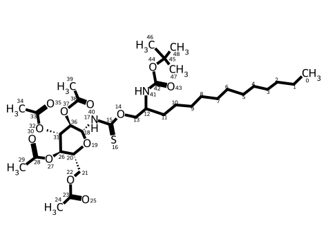 CCCCCCCCCCCCC(COC(=S)N[C@@H]1O[C@H](COC(C)=O)[C@@H](OC(C)=O)[C@H](OC(C)=O)[C@H]1OC(C)=O)NC(=O)OC(C)(C)C